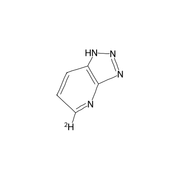 [2H]c1ccc2[nH]nnc2n1